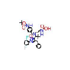 CC(C)(C)OC(=O)Nc1ccc(C(=O)N(CCCNC(=O)O)[C@@H](c2nn(-c3cc(F)ccc3F)cc2Cc2ccccc2)C(C)(C)C)cc1